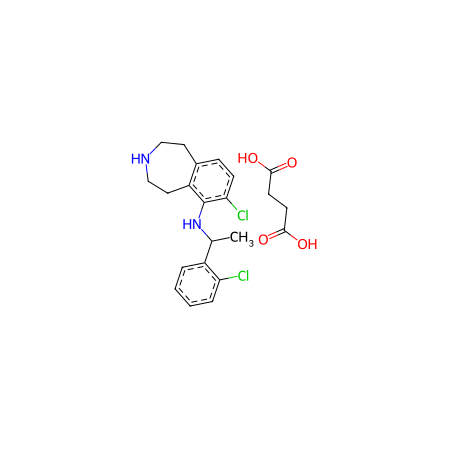 CC(Nc1c(Cl)ccc2c1CCNCC2)c1ccccc1Cl.O=C(O)CCC(=O)O